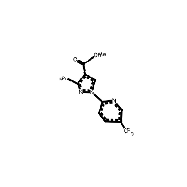 CCCc1nn(-c2ccc(C(F)(F)F)cn2)cc1C(=O)OC